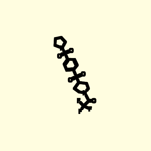 O=C(N1CCC(S(=O)(=O)c2ccc(S(=O)(=O)N3CCCC3)cc2)CC1)C(F)(F)F